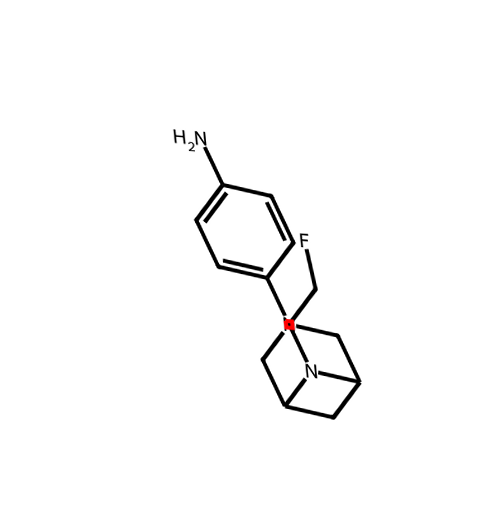 Nc1ccc(N2CC3CC(C2)N3CCF)cc1